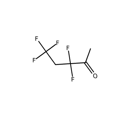 CC(=O)C(F)(F)CC(F)(F)F